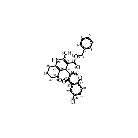 CC1=C(C(=O)OCc2ccccc2)C(c2coc3ccc(Cl)cc3c2=O)C2=C(CCCC2=O)N1